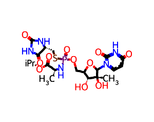 CC(C)OC(=O)[C@@H](C)NP(=O)(OCC1OC(n2ccc(=O)[nH]c2=O)[C@](C)(O)[C@@H]1O)SC[C@H]1NC(=O)NC1=O